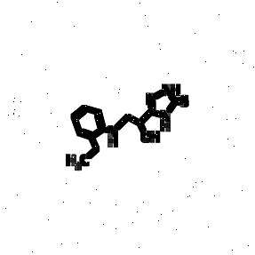 CCc1ccccc1NCC(O)c1n[nH]c(=S)[nH]1